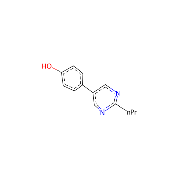 CCCc1ncc(-c2ccc(O)cc2)cn1